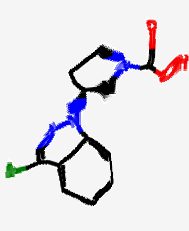 O=C(O)N1CC[C@H](n2nc(Br)c3ccccc32)C1